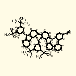 CC(C)(C)c1cc(-n2c3ccccc3c3c2ccc2c4ccc5c(c6ccccc6n5-c5ccc(C#N)cc5-c5ccccc5)c4n(-c4cc(C(C)(C)C)cc(C(C)(C)C)c4)c23)cc(C(C)(C)C)c1